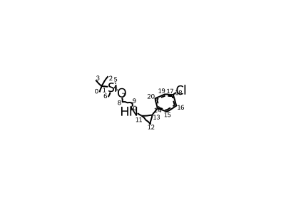 CC(C)(C)[Si](C)(C)OCCNC1CC1c1ccc(Cl)cc1